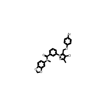 CC(=O)c1ccc(OCc2c(Cl)c(C)nn2-c2cccc(C(=O)N(C)c3ccc4c(c3)OCO4)c2)cc1